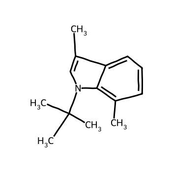 Cc1cn(C(C)(C)C)c2c(C)cccc12